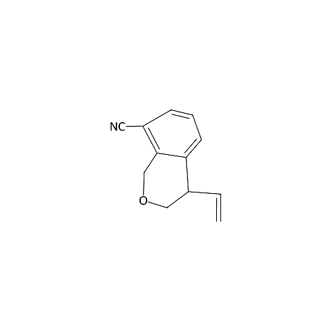 C=CC1COCc2c(C#N)cccc21